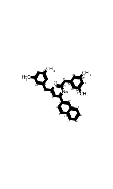 Cc1cc(C)cc(Cc2cc(-c3ccc4ccccc4c3)nc(Cc3cc(C)cc(C)c3)n2)c1